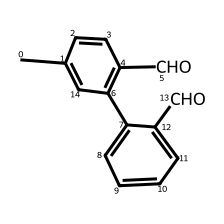 Cc1ccc(C=O)c(-c2ccccc2C=O)c1